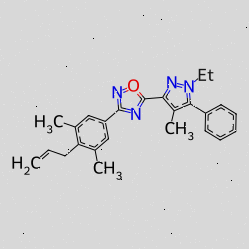 C=CCc1c(C)cc(-c2noc(-c3nn(CC)c(-c4ccccc4)c3C)n2)cc1C